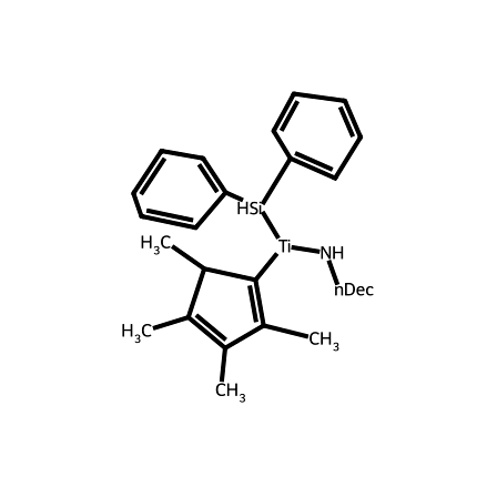 CCCCCCCCCC[NH][Ti]([C]1=C(C)C(C)=C(C)C1C)[SiH](c1ccccc1)c1ccccc1